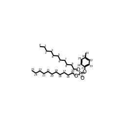 CCCCCCCCCCCOP(=O)(OCCCCCCCCCCC)Oc1ccc(C)cc1